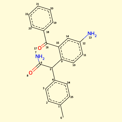 Cc1ccc(C(C(N)=O)c2ccc(N)cc2C(=O)c2ccccc2)cc1